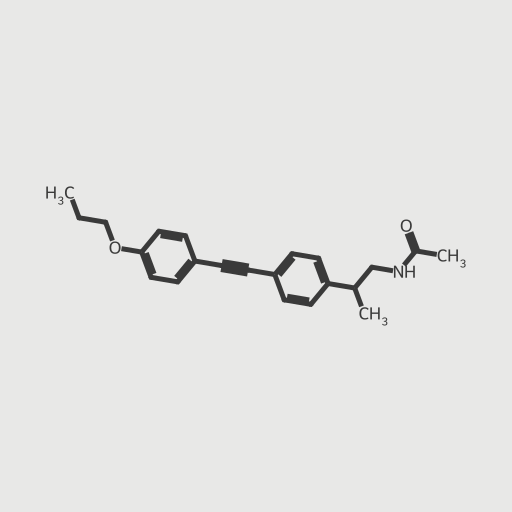 CCCOc1ccc(C#Cc2ccc(C(C)CNC(C)=O)cc2)cc1